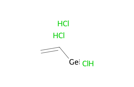 C=[CH][Ge].Cl.Cl.Cl